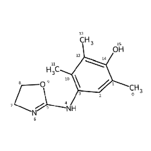 Cc1cc(NC2=NCCO2)c(C)c(C)c1O